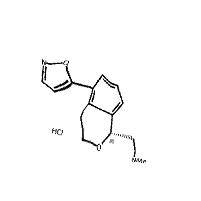 CNC[C@@H]1OCCc2c(-c3ccno3)cccc21.Cl